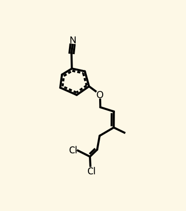 CC(=CCOc1cccc(C#N)c1)CC=C(Cl)Cl